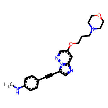 CNc1ccc(C#Cc2cnc3cc(OCCCN4CCOCC4)cnn23)cc1